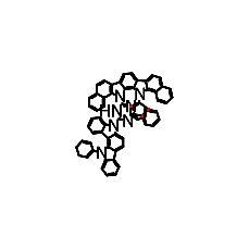 C1=CC(n2c3ccccc3c3ccc4c(c5ccccc5n4C4N=C(c5ccccc5)N=C(n5c6c7ccccc7ccc6c6ccc7c8ccc9ccccc9c8n(-c8ccccc8)c7c65)N4)c32)=CCC1